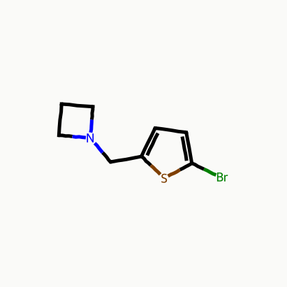 Brc1ccc(CN2CCC2)s1